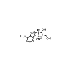 N#C[C@@]1(c2cnc3c(N)ncnn23)O[C@H](CO)[C@H](O)C1(Br)Br